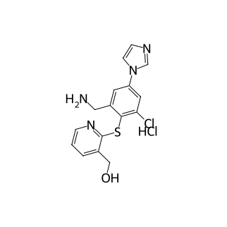 Cl.NCc1cc(-n2ccnc2)cc(Cl)c1Sc1ncccc1CO